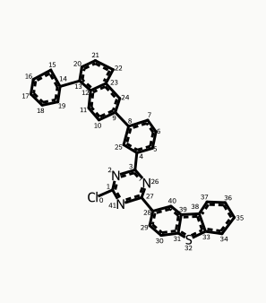 Clc1nc(-c2cccc(-c3ccc4c(-c5ccccc5)cccc4c3)c2)nc(-c2ccc3sc4ccccc4c3c2)n1